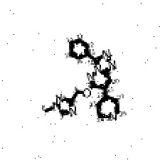 Cn1cnc(COc2nn3c(-c4ccccc4)nnc3cc2-c2ccncc2)n1